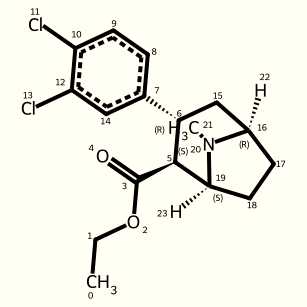 CCOC(=O)[C@H]1[C@H](c2ccc(Cl)c(Cl)c2)C[C@H]2CC[C@@H]1N2C